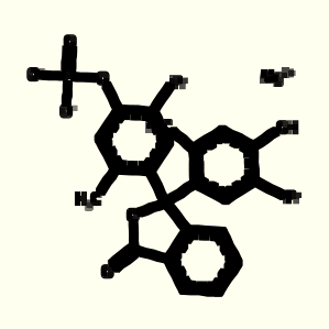 Cc1cc(O)c(C(C)C)cc1C1(c2cc(C(C)C)c(OP(=O)([O-])[O-])cc2C)OC(=O)c2ccccc21.[Mg+2]